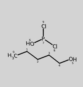 CCCCCO.OP(Cl)Cl